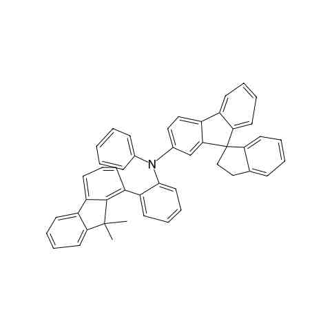 CC1(C)c2ccccc2-c2cccc(-c3ccccc3N(c3ccccc3)c3ccc4c(c3)C3(CCc5ccccc53)c3ccccc3-4)c21